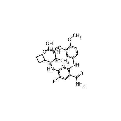 COc1ccc(Nc2nc(N[C@H](C3CCC3)[C@H](C)NC(=O)O)c(F)cc2C(N)=O)cc1OC